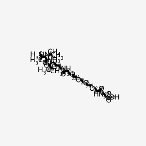 CC(C)[C@H](NC(C)(C)C)C(=O)N[C@@H](CCCCNC(=O)CCOCCOCCOCCOCCC(=O)NCCS(=O)(=O)O)C(=O)C(C)(C)C